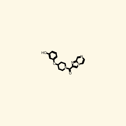 O=C(c1cn2ccncc2n1)N1CCC(Oc2cccc(O)c2)CC1